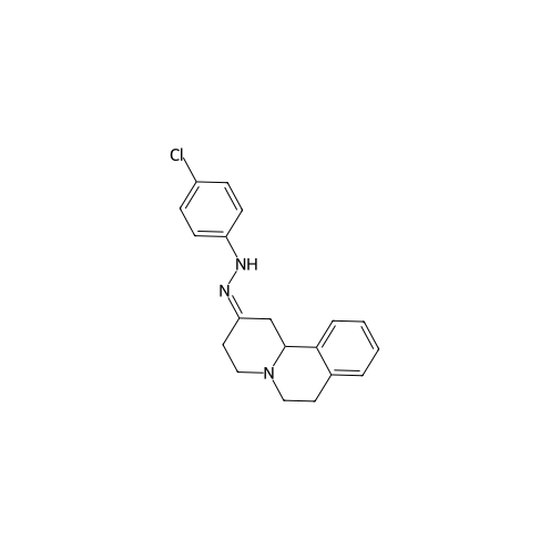 Clc1ccc(NN=C2CCN3CCc4ccccc4C3C2)cc1